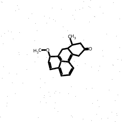 COC1C=Cc2cccc3c2=C1CC1C=3CC(=O)CC1C